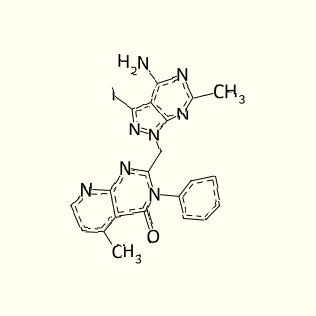 Cc1nc(N)c2c(I)nn(Cc3nc4nccc(C)c4c(=O)n3-c3ccccc3)c2n1